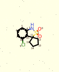 O=S1(=O)Nc2cccc(Cl)c2C12CCCC2